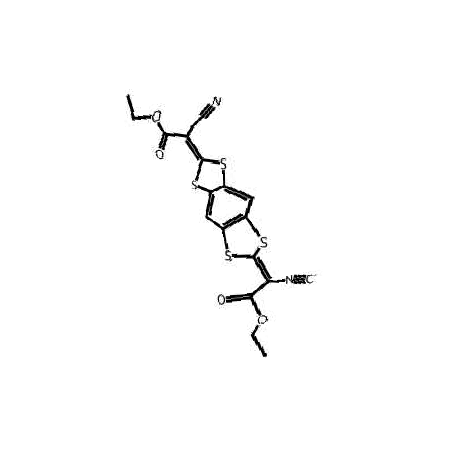 [C-]#[N+]C(C(=O)OCC)=C1Sc2cc3c(cc2S1)SC(=C(C#N)C(=O)OCC)S3